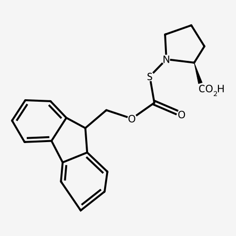 O=C(OCC1c2ccccc2-c2ccccc21)SN1CCC[C@H]1C(=O)O